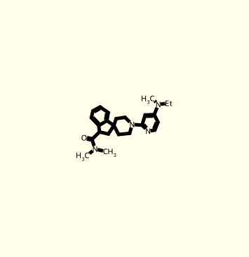 CCN(C)c1ccnc(N2CCC3(CC2)CC(C(=O)N(C)C)c2ccccc23)c1